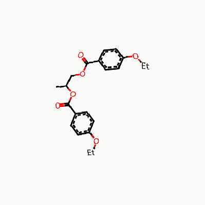 CCOc1ccc(C(=O)OCC(C)OC(=O)c2ccc(OCC)cc2)cc1